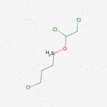 ClCCC[SiH2]OC(Cl)CCl